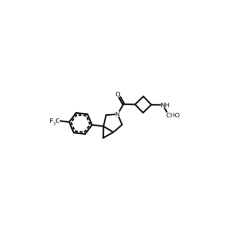 O=CNC1CC(C(=O)N2CC3CC3(c3ccc(C(F)(F)F)cc3)C2)C1